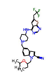 CCC(Cn1c(C#N)cc2cc(CN3CCC(Nc4ncnc5sc(CC(F)(F)F)cc45)CC3)ccc21)OC(C)C